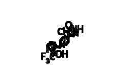 O=c1[nH]ncc(N2CCN(Cc3cccnc3[C@@H](O)C(F)(F)F)CC2)c1Cl